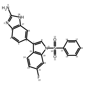 Nc1nc2ccc(-c3cn(S(=O)(=O)c4ccccc4)c4cc(F)ccc34)cc2[nH]1